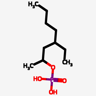 CCCCC(CC)CC(C)OP(=O)(O)O